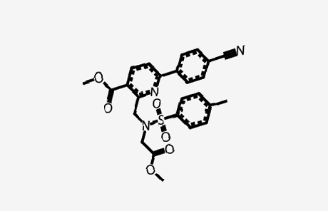 COC(=O)CN(Cc1nc(-c2ccc(C#N)cc2)ccc1C(=O)OC)S(=O)(=O)c1ccc(C)cc1